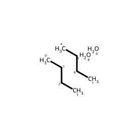 CCCC.CCCC.O.O